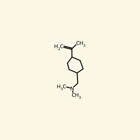 C=C(C)C1CCC(CN(C)C)CC1